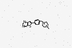 CN1CCN(Cc2ccc(-c3cc4ncn[c]c4s3)cc2)CC1